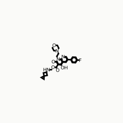 O=C(OCNC1CC2(CC2)C1)c1c(O)c2cc(-c3ccc(F)cc3)cnc2n(CCN2CCOCC2)c1=O